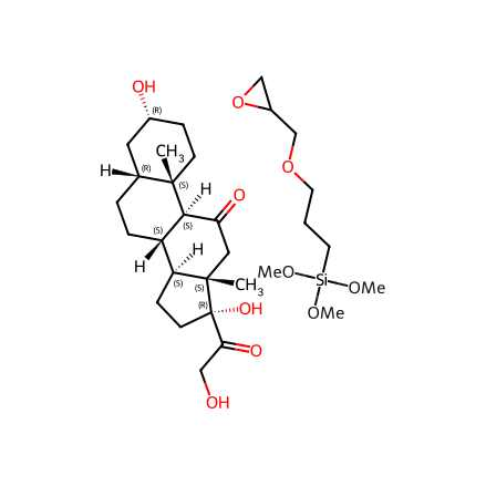 CO[Si](CCCOCC1CO1)(OC)OC.C[C@]12CC[C@@H](O)C[C@H]1CC[C@@H]1[C@@H]2C(=O)C[C@@]2(C)[C@H]1CC[C@]2(O)C(=O)CO